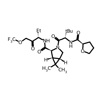 CC[C@H](NC(=O)[C@@H]1[C@@H]2[C@H](CN1C(=O)[C@@H](NC(=O)[C@H]1CCCO1)C(C)(C)C)C2(C)C)C(=O)COC(F)(F)F